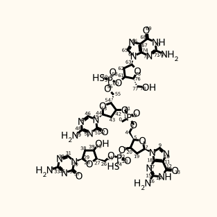 CP(=O)(OC[C@H]1O[C@@H](n2cnc3c(=O)[nH]c(N)nc32)CC1OP(=O)(S)OC[C@H]1O[C@@H](n2cnc(N)nc2=O)CC1O)OC1C[C@H](n2cnc(N)nc2=O)O[C@@H]1COP(=O)(S)OC1C[C@H](n2cnc3c(=O)[nH]c(N)nc32)O[C@@H]1CO